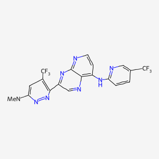 CNc1cc(C(F)(F)F)c(-c2cnc3c(Nc4ccc(C(F)(F)F)cn4)ccnc3n2)nn1